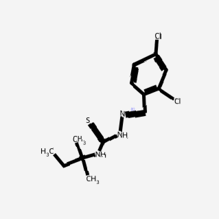 CCC(C)(C)NC(=S)N/N=C/c1ccc(Cl)cc1Cl